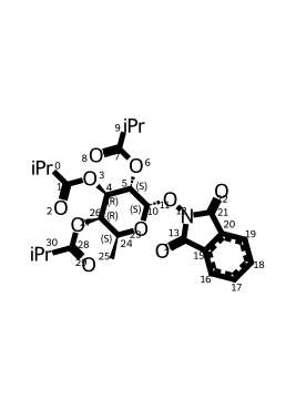 CC(C)C(=O)O[C@H]1[C@H](OC(=O)C(C)C)[C@H](ON2C(=O)c3ccccc3C2=O)O[C@@H](C)[C@H]1OC(=O)C(C)C